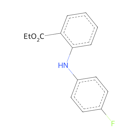 CCOC(=O)c1ccccc1Nc1ccc(F)cc1